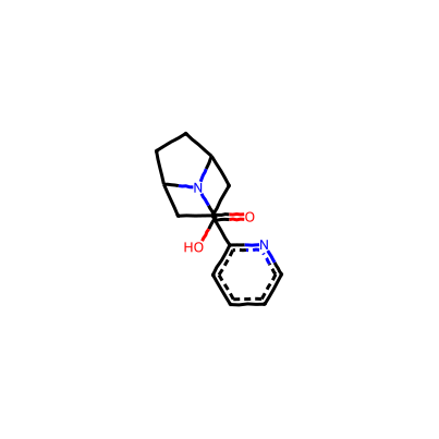 O=C(O)N1C2CCC1CC(c1ccccn1)C2